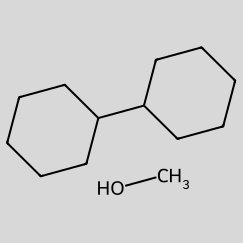 C1CCC(C2CCCCC2)CC1.CO